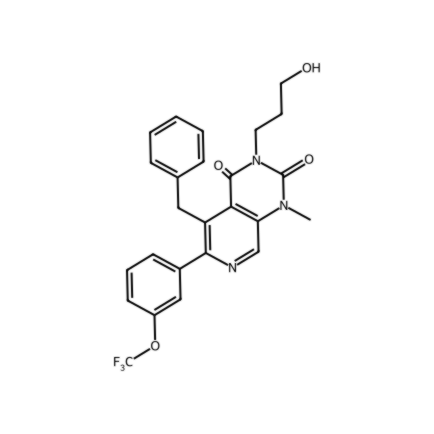 Cn1c(=O)n(CCCO)c(=O)c2c(Cc3ccccc3)c(-c3cccc(OC(F)(F)F)c3)ncc21